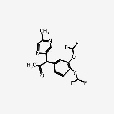 CC(=O)C(c1ccc(OC(F)F)c(OC(F)F)c1)c1cnc(C)cn1